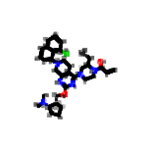 C=CC(=O)N1CCN(c2nc(OC[C@@H]3CCC[C@@H]3N(C)C)nc3c2CCN(c2cccc4cccc(Cl)c24)C3)CC1CC#N